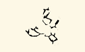 Cc1cc([C@@H](C)Nc2ccc(Cl)nc2C(=O)O)c2nc(N3CCn4c(nc(C)c4C)C3)c(C#N)nc2c1